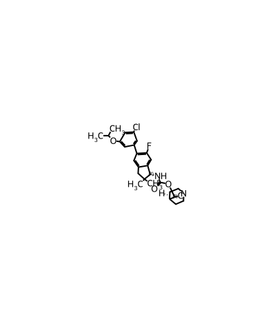 CC(C)Oc1cc(Cl)cc(-c2cc3c(cc2F)[C@H](NC(=O)O[C@H]2CN4CCC2CC4)C(C)(C)C3)c1